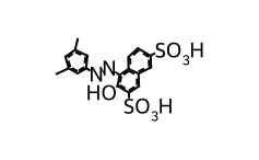 Cc1cc(C)cc(N=Nc2c(O)c(S(=O)(=O)O)cc3cc(S(=O)(=O)O)ccc23)c1